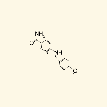 COc1ccc(CNc2ccc(C(N)=O)cn2)cc1